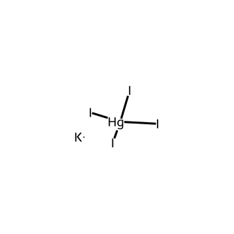 [I][Hg]([I])([I])[I].[K]